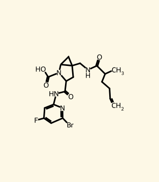 C=CCCC(C)C(=O)NCC12CC(C(=O)Nc3cc(F)cc(Br)n3)N(C(=O)O)C1C2